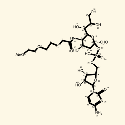 COCCOCCSCC(=O)N[C@H]1C([C@H](O)C(O)CO)O[C@@](C=O)(OP(=O)(O)OCC2OC(n3ccc(N)nc3=O)[C@H](O)[C@@H]2O)C[C@H]1O